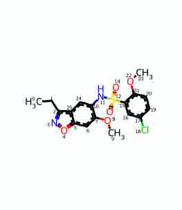 CCc1noc2cc(OC)c(NS(=O)(=O)c3cc(Cl)ccc3OC)cc12